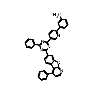 Cc1cccc(-c2ccc(-c3nc(-c4ccccc4)nc(-c4ccc5c(c4)oc4nccc(-c6ccccc6)c45)n3)cn2)c1